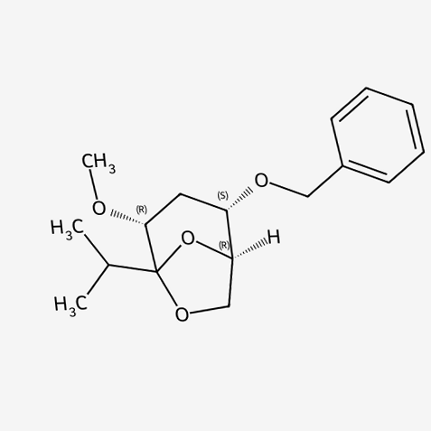 CO[C@@H]1C[C@H](OCc2ccccc2)[C@H]2COC1(C(C)C)O2